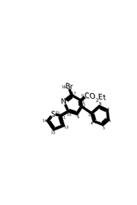 CCOC(=O)c1c(-c2ccccc2)cc(-c2cccs2)nc1Br